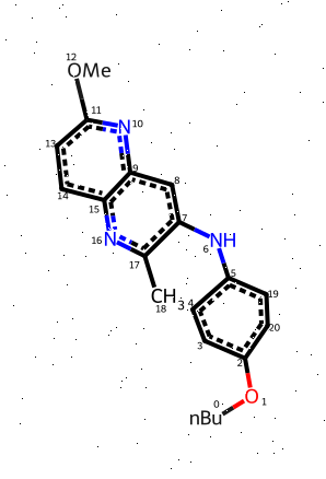 CCCCOc1ccc(Nc2cc3nc(OC)ccc3nc2C)cc1